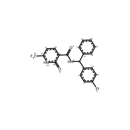 CCc1ccc(C(NC(=O)c2ccc(C(F)(F)F)[nH]c2=O)c2ccccc2)cc1